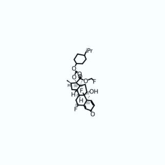 CC(C)C1CCC(OC(=O)O[C@@]2(C(=O)OCF)[C@H](C)C[C@H]3[C@@H]4C[C@H](F)C5=CC(=O)C=C[C@]5(C)C4(F)[C@@H](O)C[C@@]32C)CC1